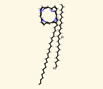 CCCCCCCCCCCCCCCCCCCCCCCCc1cc2cc3nc(cc4ccc(cc5nc(cc1[nH]2)C=C5)[nH]4)C=C3.CCCCCCCCCCCCCCCCCCCCCCC[CH2][Ru].[Zn]